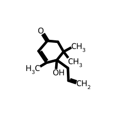 C=CCC1(O)C(C)=CC(=O)CC1(C)C